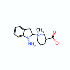 C[N+]1(C2Cc3ccccc3N2N)CCCC(C(=O)[O-])C1